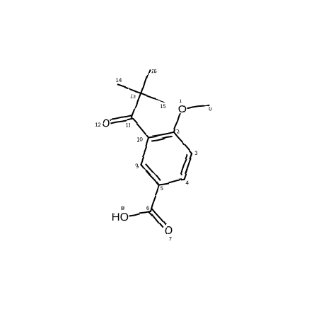 COc1ccc(C(=O)O)cc1C(=O)C(C)(C)C